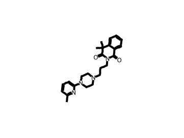 Cc1cccc(N2CCN(CCCN3C(=O)c4ccccc4C(C)(C)C3=O)CC2)n1